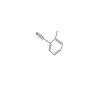 [CH2]c1ccccc1C#N